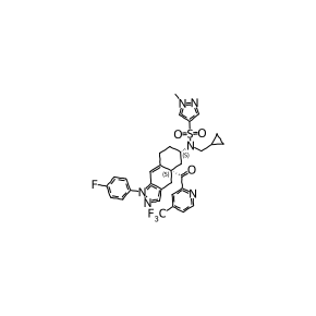 Cn1cc(S(=O)(=O)N(CC2CC2)[C@H]2CCC3=Cc4c(cnn4-c4ccc(F)cc4)C[C@]3(C(=O)c3cc(C(F)(F)F)ccn3)C2)cn1